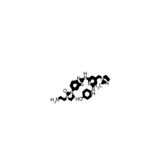 Cc1nccn1Cc1cc(Nc2nc3ccc(N4CCN(CCN)C4=O)cc3s2)nc(N[C@H]2CC[C@H](O)CC2)c1